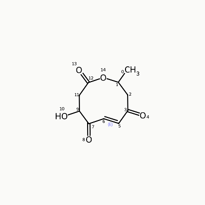 CC1CC(=O)/C=C/C(=O)C(O)CC(=O)O1